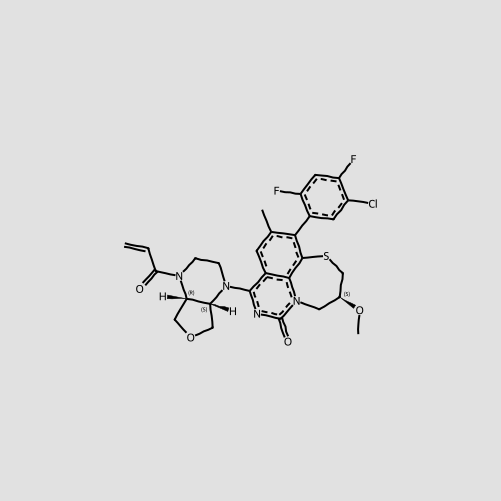 C=CC(=O)N1CCN(c2nc(=O)n3c4c(c(-c5cc(Cl)c(F)cc5F)c(C)cc24)SC[C@@H](OC)C3)[C@@H]2COC[C@@H]21